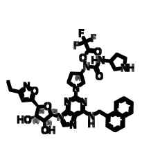 CCc1cc([C@H]2O[C@@H](n3cnc4c(NCc5cccc6ccccc56)nc(N5CC[C@@H](N(OC(=O)C(F)(F)F)C(=O)NC6CCNC6)C5)nc43)[C@@H](O)[C@@H]2O)on1